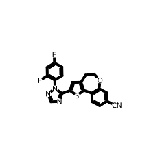 N#Cc1ccc2c(c1)OCCc1cc(-c3ncnn3-c3ccc(F)cc3F)sc1-2